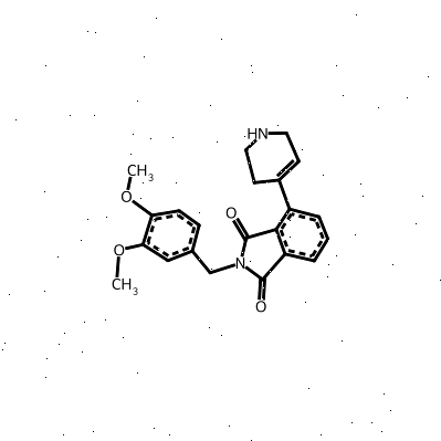 COc1ccc(CN2C(=O)c3cccc(C4=CCNCC4)c3C2=O)cc1OC